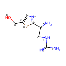 N=C(N)NCC(N)c1ncc(CO)s1